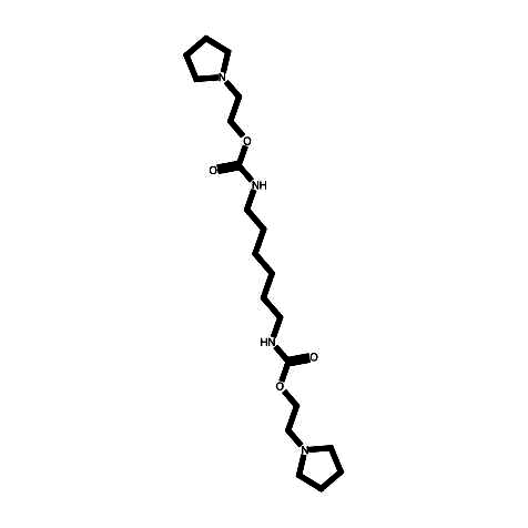 O=C(NCCCCCCNC(=O)OCCN1CCCC1)OCCN1CCCC1